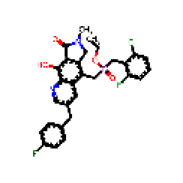 CCOP(=O)(Cc1c(F)cccc1F)Cc1c2c(c(O)c3ncc(Cc4ccc(F)cc4)cc13)C(=O)N(C)C2